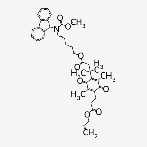 C=CCOC(=O)CCC1=C(C)C(=O)C(C(C)(C)CC(=O)OCCCCCN(C(=O)OC)C2c3ccccc3-c3ccccc32)=C(C)C1=O